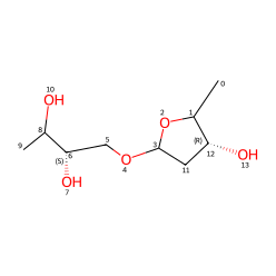 CC1OC(OC[C@H](O)C(C)O)C[C@H]1O